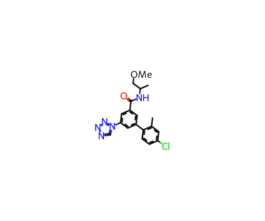 COCC(C)NC(=O)c1cc(-c2ccc(Cl)cc2C)cc(-n2cnnn2)c1